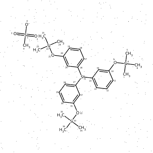 CS(=O)(=O)[O-].C[Si](C)(C)Oc1cccc([S+](c2cccc(O[Si](C)(C)C)c2)c2cccc(O[Si](C)(C)C)c2)c1